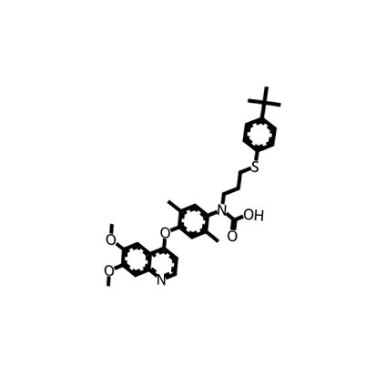 COc1cc2nccc(Oc3cc(C)c(N(CCCSc4ccc(C(C)(C)C)cc4)C(=O)O)cc3C)c2cc1OC